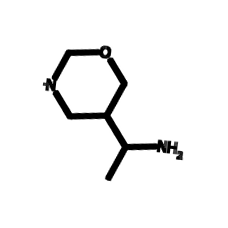 CC(N)C1C[N]COC1